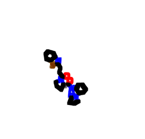 O=C(Nc1ccccc1-n1cccc1)[C@@H]1CCCN1C(=O)CCc1nc2ccccc2s1